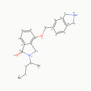 CC(=O)CCC(C(C)=O)N1Cc2c(OCc3ccc4c(c3)CNC4)cccc2C1=O